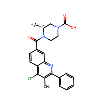 Cc1c(-c2ccccc2)nc2cc(C(=O)N3CCN(C(=O)O)C[C@H]3C)ccc2c1Cl